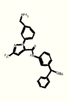 CC(C)COC(c1ccccc1)c1cccc(NC(=O)c2cc(C(F)(F)F)nn2-c2cccc(CN)c2)c1